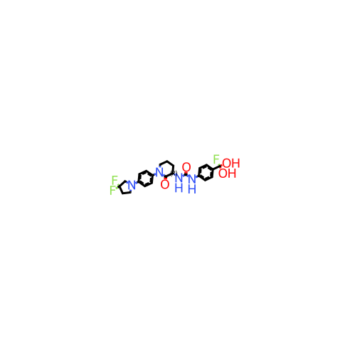 O=C(Nc1ccc(C(O)(O)F)cc1)N[C@@H]1CCCN(c2ccc(N3CCC(F)(F)C3)cc2)C1=O